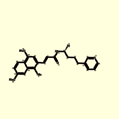 CCCCc1c(/C=C/C(=O)N[C@H](CC)CCCc2cccnc2)cc(OC)c2ccc(OC)cc12